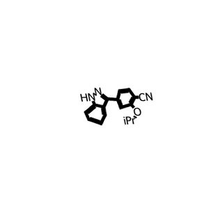 CC(C)Oc1cc(-c2n[nH]c3ccccc23)ccc1C#N